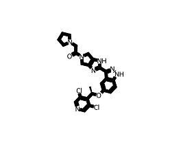 C[C@@H](Oc1ccc2[nH]nc(-c3nc4c([nH]3)CN(C(=O)CN3CCCC3)C4)c2c1)c1c(Cl)cncc1Cl